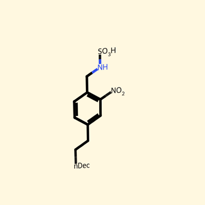 CCCCCCCCCCCCc1ccc(CNS(=O)(=O)O)c([N+](=O)[O-])c1